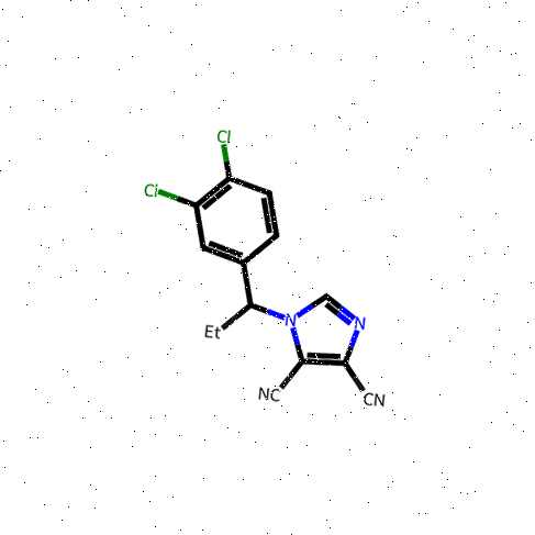 CCC(c1ccc(Cl)c(Cl)c1)n1cnc(C#N)c1C#N